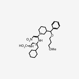 COCCCOC(c1ccccc1)C1CCCN(C(=C[N+](=O)[O-])N[C@H](CNC(=O)O)CC2CCCCC2)C1